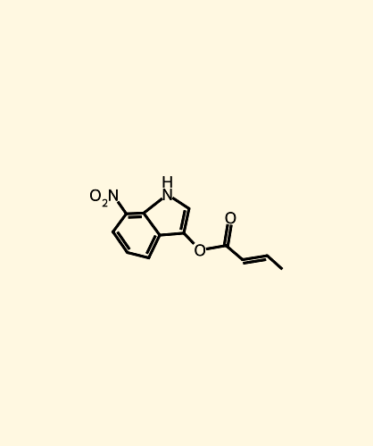 CC=CC(=O)Oc1c[nH]c2c([N+](=O)[O-])cccc12